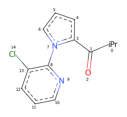 CC(C)C(=O)c1cccn1-c1ncccc1Cl